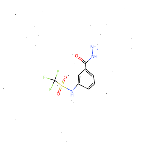 NNC(=O)c1cccc(NS(=O)(=O)C(F)(F)F)c1